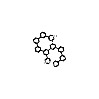 C1=NC=C(c2cccc(-c3cccc(-c4cccc(-c5cc(-c6cncnc6)cc(-c6cccc(-c7cccc(-c8cccc(-c9ccncc9)c8)c7)c6)c5)c4)c3)c2)CN1